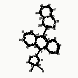 Cc1ccc(-c2c3ccccc3c(-c3ccc4ccccc4c3)c3ccncc23)cc1C